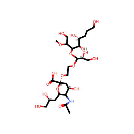 COC(CO)C(OC(OCCO[C@]1(C(=O)O)C[C@@H](O)C(NC(C)=O)C(C[C@H](O)CO)O1)[C@@H](O)CO)C(O)[C@H](O)CCCO